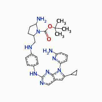 CC(C)(C)OC(=O)N1C(N)CCC1CNc1ccc(Nc2ncc3cc(C4CC4)n(-c4cccc(N)n4)c3n2)cc1